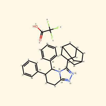 O=C(O)C(F)(F)F.c1ccc(C2CCc3nnc(C45CC6CC(CC(C6)C4)C5)n3C2c2ccccc2)cc1